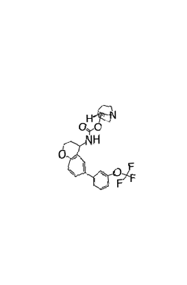 O=C(NC1CCOc2ccc(-c3cccc(OC(F)(F)F)c3)cc21)O[C@H]1CN2CCC1CC2